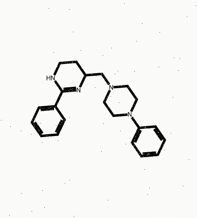 c1ccc(C2=NC(CN3CCN(c4ccccc4)CC3)CCN2)cc1